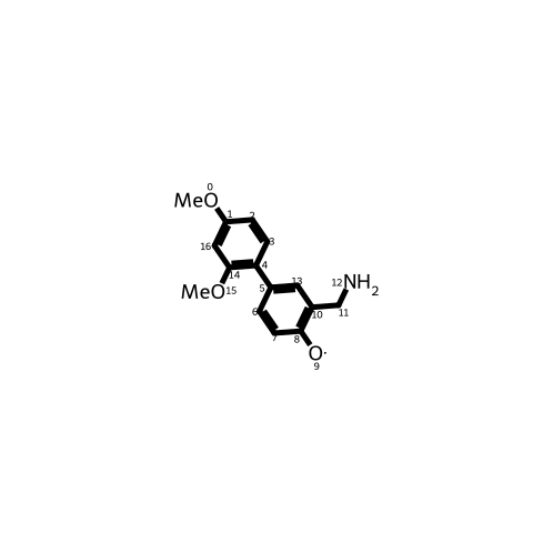 COc1ccc(-c2ccc([O])c(CN)c2)c(OC)c1